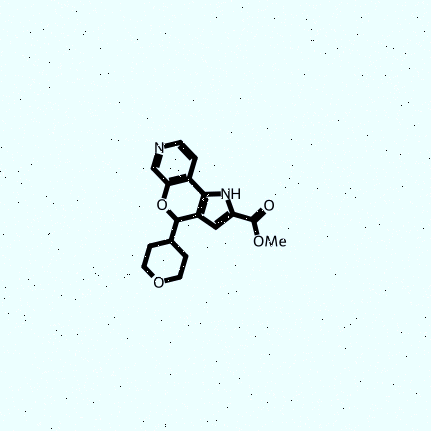 COC(=O)c1cc2c([nH]1)-c1ccncc1OC2C1CCOCC1